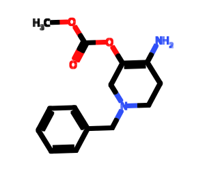 COC(=O)OC1=C(N)CCN(Cc2ccccc2)C1